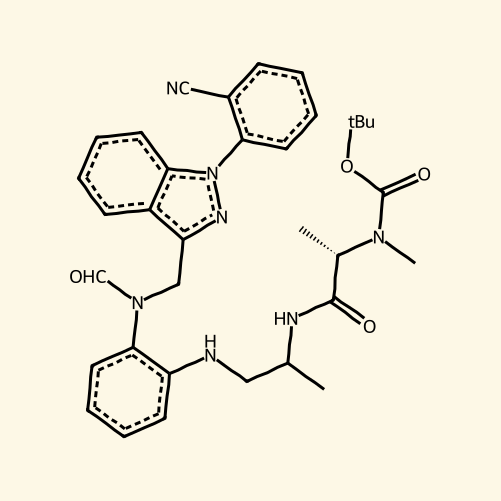 CC(CNc1ccccc1N(C=O)Cc1nn(-c2ccccc2C#N)c2ccccc12)NC(=O)[C@H](C)N(C)C(=O)OC(C)(C)C